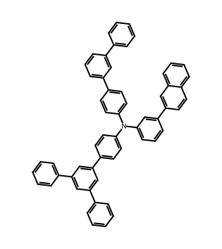 c1ccc(-c2cccc(-c3ccc(N(c4ccc(-c5cc(-c6ccccc6)cc(-c6ccccc6)c5)cc4)c4cccc(-c5ccc6ccccc6c5)c4)cc3)c2)cc1